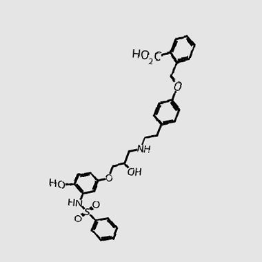 O=C(O)c1ccccc1COc1ccc(CCNCC(O)COc2ccc(O)c(NS(=O)(=O)c3ccccc3)c2)cc1